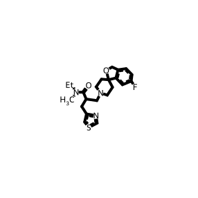 CCN(C)C(=O)C(Cc1cscn1)CN1CCC2(CC1)OCc1ccc(F)cc12